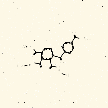 COC(=O)c1ccc(C(=O)c2ccc(C(=O)OC)c(C(=O)OOC(C)(C)C)c2C(=O)OOC(C)(C)C)cc1